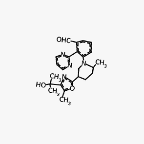 Cc1oc(C2CCC(C)N(c3cccc(C=O)c3-c3ncccn3)C2)nc1C(C)(C)O